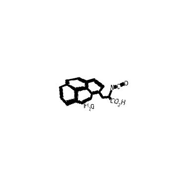 O.O=C=NC(Cc1ccc2ccc3cccc4ccc1c2c34)C(=O)O